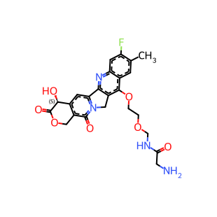 Cc1cc2c(OCCOCNC(=O)CN)c3c(nc2cc1F)-c1cc2c(c(=O)n1C3)COC(=O)[C@H]2O